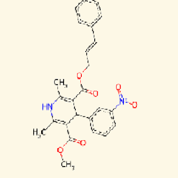 COC(=O)C1=C(C)NC(C)=C(C(=O)OC/C=C/c2ccccc2)C1c1cccc([N+](=O)[O-])c1